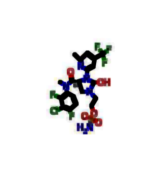 Cc1cc(C(F)(F)F)cc(N2C(O)N(CCOS(N)(=O)=O)C[C@H]2C(=O)N(C)c2ccc(F)c(Cl)c2F)n1